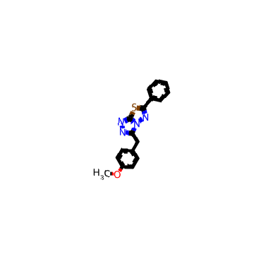 COc1ccc(Cc2nnc3sc(-c4ccccc4)nn23)cc1